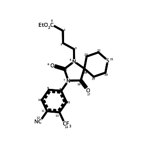 CCOC(=O)CCCN1C(=O)N(c2ccc(C#N)c(C(F)(F)F)c2)C(=O)C12CCSCC2